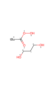 CC(C)(C)C(=O)OO.OCCCO